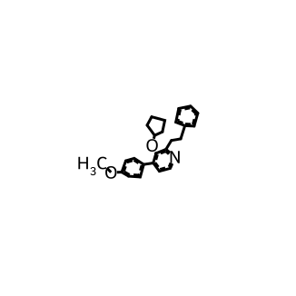 COc1ccc(-c2ccnc(CCc3ccccc3)c2OC2CCCC2)cc1